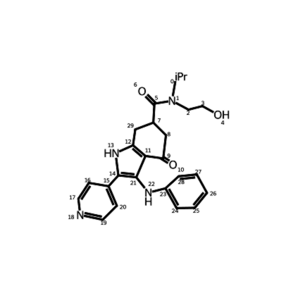 CC(C)N(CCO)C(=O)C1CC(=O)c2c([nH]c(-c3ccncc3)c2Nc2ccccc2)C1